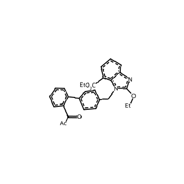 CCOC(=O)c1cccc2nc(OCC)n(Cc3ccc(-c4ccccc4C(=O)C(C)=O)cc3)c12